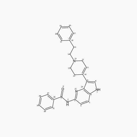 O=C(Nc1ccc2[nH]cc(C3=CCN(CCc4ccccc4)CC3)c2n1)c1ccccc1